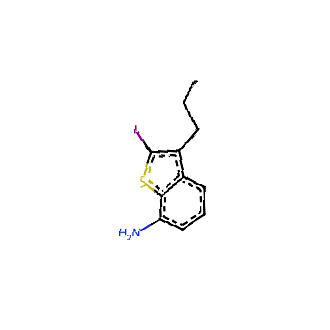 CCCc1c(I)sc2c(N)cccc12